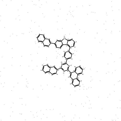 c1ccc2cc(-c3ccc4c(c3)oc3cccc(-c5ccc(-c6nc(-c7ccc8ccccc8c7)nc(-c7cc8ccccc8c8ccccc78)n6)cc5)c34)ccc2c1